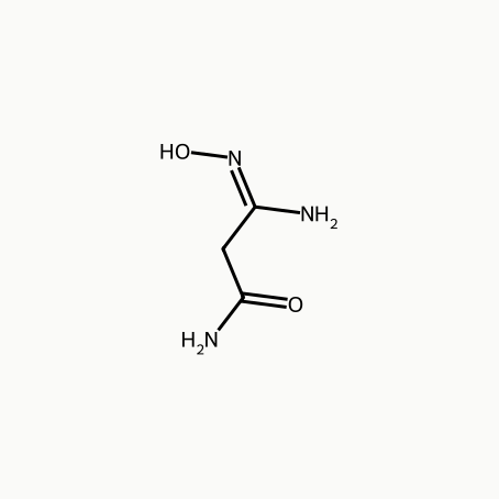 NC(=O)C/C(N)=N\O